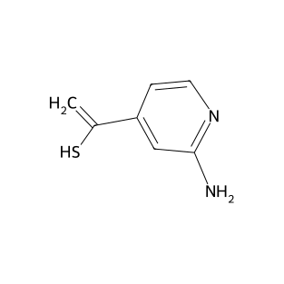 C=C(S)c1ccnc(N)c1